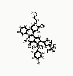 COCCn1cc(-c2ccccc2)c(-c2cn(C)c(=O)c3c2cc(-c2cnn(C(F)(F)F)c2)n3S(=O)(=O)c2ccc(C)cc2)cc1=O